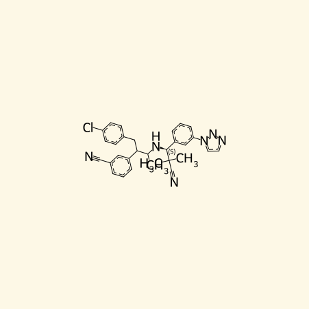 CC(N[C@@H](c1cccc(-n2ccnn2)c1)C(C)(C)C#N)C(Cc1ccc(Cl)cc1)c1cccc(C#N)c1